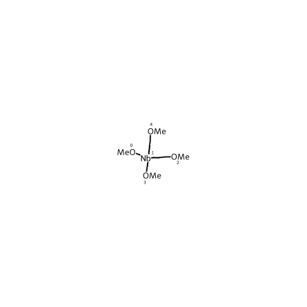 C[O][Nb]([O]C)([O]C)[O]C